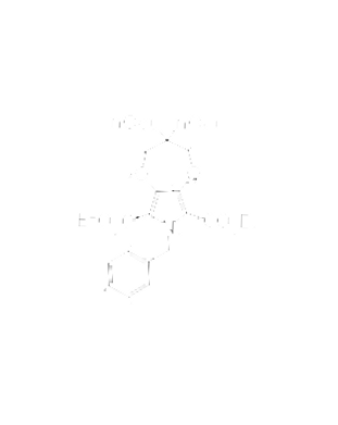 CCCCCCCCC1(CCCCCCCC)COc2c(c(C(=O)OCC)n(Cc3ccccc3)c2C(=O)OCC)OC1